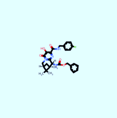 CC1(C)[C@H]2Cn3c(nc(C(=O)NCc4ccc(F)cc4)c(O)c3=O)[C@H](NC(=O)OCc3ccccc3)[C@]1(C)C2